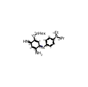 CCCCCCOC1=C/C(=N\c2ccc(N(CC)C(C)C)cc2)C(N)=CC1=N